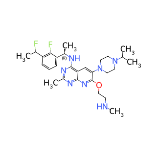 CNCCOc1nc2nc(C)nc(N[C@H](C)c3cccc(C(C)F)c3F)c2cc1N1CCN(C(C)C)CC1